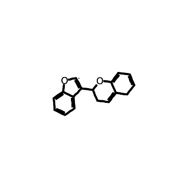 [c]1oc2ccccc2c1C1CC=C2CC=CC=C2O1